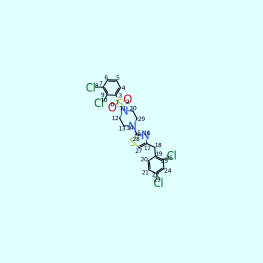 O=S(=O)(c1cccc(Cl)c1Cl)N1CCN(c2nc(Cc3ccc(Cl)cc3Cl)cs2)CC1